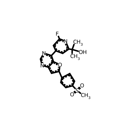 CC(C)(O)c1cc(-c2ncnc3cc(-c4ccc(S(C)(=O)=O)cc4)oc23)cc(F)n1